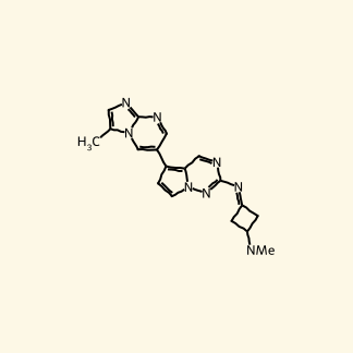 CNC1CC(=Nc2ncc3c(-c4cnc5ncc(C)n5c4)ccn3n2)C1